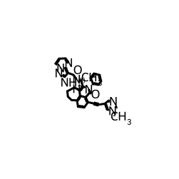 C[C@@H](NC(=O)c1c(N)nn2cccnc12)c1c2c3c(ccc(C#CC4=CN(C)CN=C4)c3c(=O)n1-c1ccccc1)CCCC2